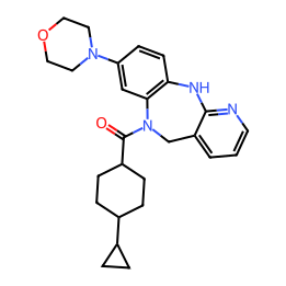 O=C(C1CCC(C2CC2)CC1)N1Cc2cccnc2Nc2ccc(N3CCOCC3)cc21